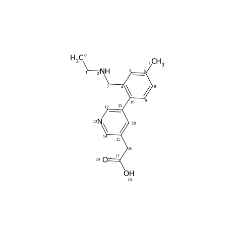 CCNCc1cc(C)ccc1-c1cncc(CC(=O)O)c1